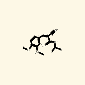 COc1ccc(C=C(C#N)C(=O)OC(C)C)cc1OC